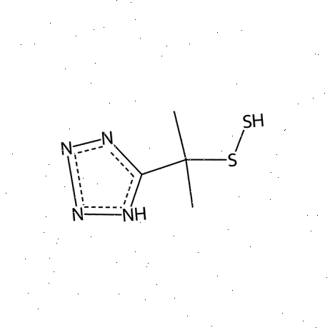 CC(C)(SS)c1nnn[nH]1